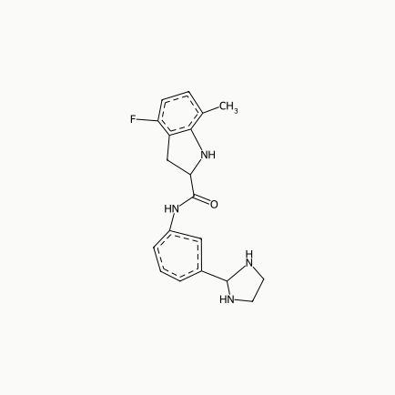 Cc1ccc(F)c2c1NC(C(=O)Nc1cccc(C3NCCN3)c1)C2